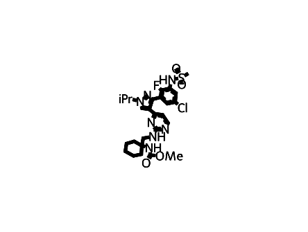 COC(=O)NC1(CNc2nccc(-c3cn(C(C)C)nc3-c3cc(Cl)cc(NS(C)(=O)=O)c3F)n2)CCCCC1